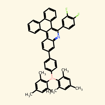 Cc1cc(C)c(B(c2ccc(-c3ccc4c(c3)nc(-c3ccc(F)c(F)c3)c3c5ccccc5c5ccccc5c43)cc2)c2c(C)cc(C)cc2C)c(C)c1